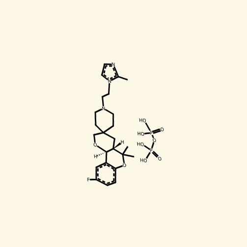 Cc1nccn1CCN1CCC2(CC1)CO[C@@H]1c3cc(F)ccc3OC(C)(C)[C@H]1C2.O=P(O)(O)OP(=O)(O)O